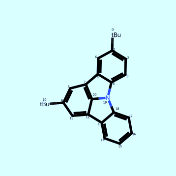 CC(C)(C)c1ccc2c(c1)c1cc(C(C)(C)C)cc3c4ccccc4n2c31